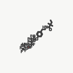 CCC(C)(C)C(=O)NCCc1ccc(OS(=O)(=O)C(F)(F)C(F)(F)C(F)(F)S(=O)(=O)NS(=O)(=O)C(F)(F)F)cc1